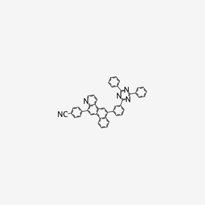 N#Cc1ccc(-c2cc3c4ccccc4c(-c4cccc(-c5nc(-c6ccccc6)nc(-c6ccccc6)n5)c4)cc3c3cccnc23)cc1